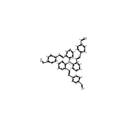 O=Cc1ccc(C=Cc2ccccc2N(c2ccccc2C=Cc2ccc(C=O)cc2)c2ccccc2C=Cc2ccc(C=O)cc2)cc1